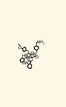 CCOc1ccc(C[C@@H](NC(=O)c2ccccc2)C(=O)N[C@@H](Cc2c[nH]c3ccccc23)C(=O)NCc2ccc(CN)cc2)cc1